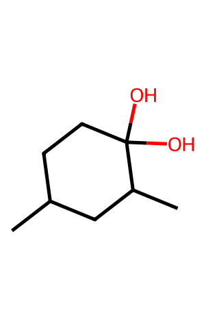 CC1CCC(O)(O)C(C)C1